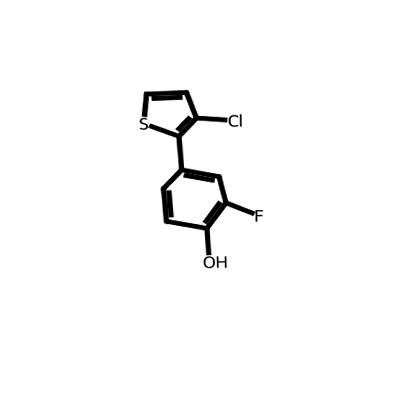 Oc1ccc(-c2sccc2Cl)cc1F